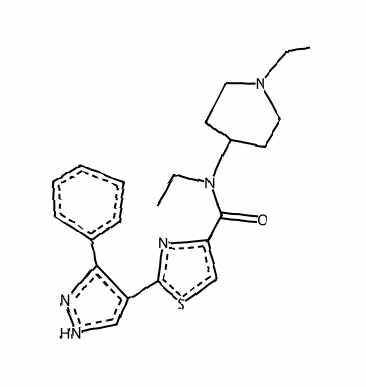 CCN1CCC(N(CC)C(=O)c2csc(-c3c[nH]nc3-c3ccccc3)n2)CC1